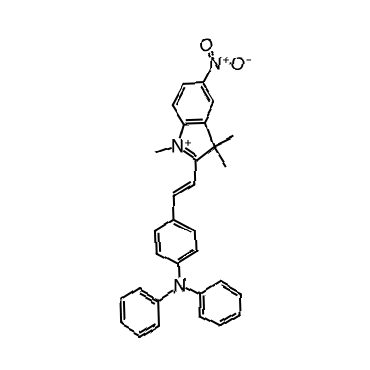 C[N+]1=C(/C=C/c2ccc(N(c3ccccc3)c3ccccc3)cc2)C(C)(C)c2cc([N+](=O)[O-])ccc21